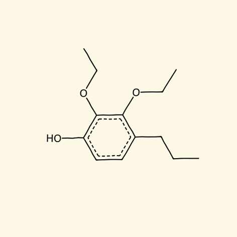 CCCc1ccc(O)c(OCC)c1OCC